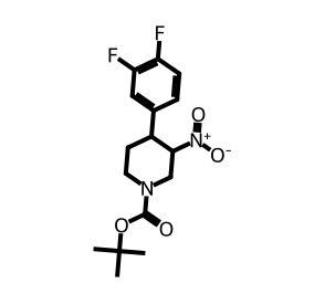 CC(C)(C)OC(=O)N1CCC(c2ccc(F)c(F)c2)C([N+](=O)[O-])C1